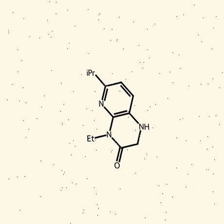 CCN1C(=O)CNc2ccc(C(C)C)nc21